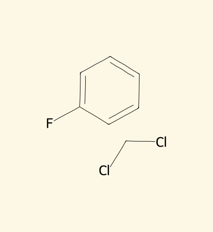 ClCCl.Fc1ccccc1